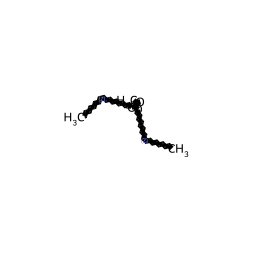 CCCCCCCC/C=C\CCCCCCCCOC(OCCCCCCCC/C=C\CCCCCCCC)C(C)=O